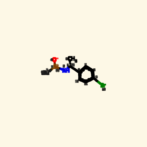 C[C@@H](N[S@+]([O-])C(C)(C)C)c1ccc(Br)cc1